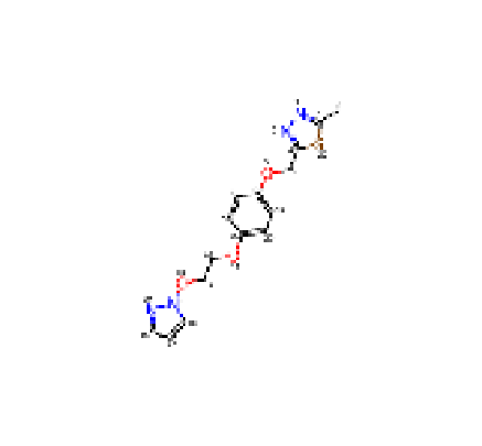 Cc1nnc(COc2ccc(OCCOn3cccn3)cc2)s1